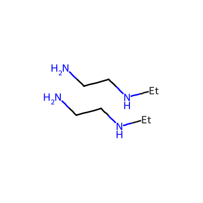 CCNCCN.CCNCCN